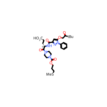 CSCCCOC(=O)N1CCN(C(=O)[C@H](CCC(=O)O)NC(=O)c2cc(OCC(=O)C(C)(C)C)n(-c3ccccc3)n2)CC1